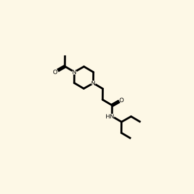 CCC(CC)NC(=O)CCN1CCN(C(C)=O)CC1